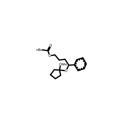 CCCCC(=O)OCCCC(OC1(OC)CCCC1)c1ccccc1